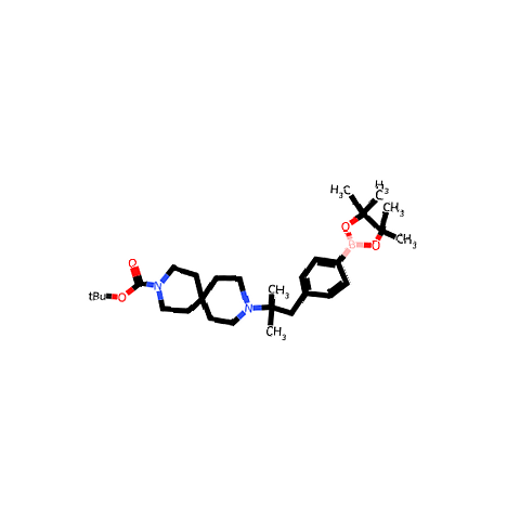 CC(C)(C)OC(=O)N1CCC2(CC1)CCN(C(C)(C)Cc1ccc(B3OC(C)(C)C(C)(C)O3)cc1)CC2